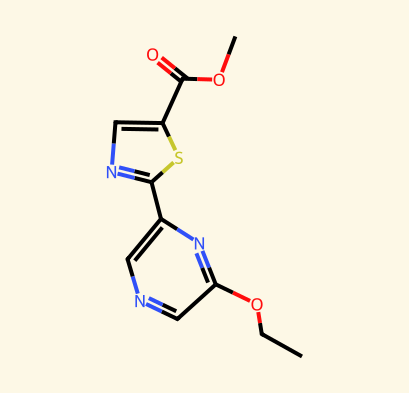 CCOc1cncc(-c2ncc(C(=O)OC)s2)n1